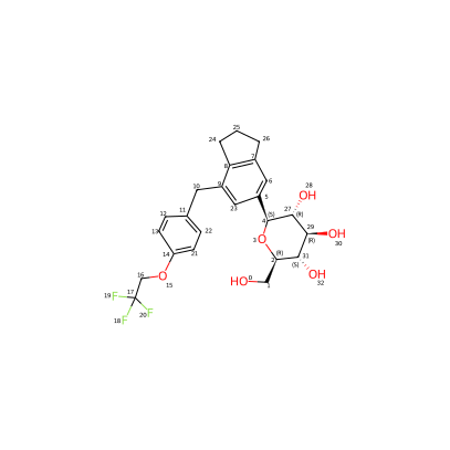 OC[C@H]1O[C@@H](c2cc3c(c(Cc4ccc(OCC(F)(F)F)cc4)c2)CCC3)[C@H](O)[C@@H](O)[C@@H]1O